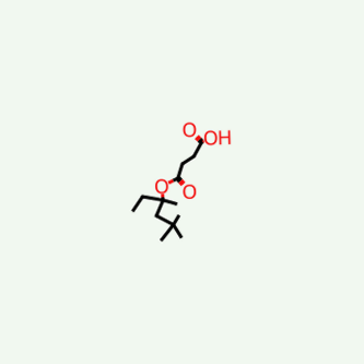 CCC(C)(CC(C)(C)C)OC(=O)CCC(=O)O